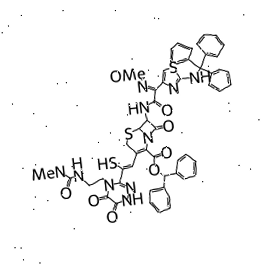 CNC(=O)NCCn1c(C(S)=CC2=C(C(=O)OC(c3ccccc3)c3ccccc3)N3C(=O)C(NC(=O)C(=NOC)c4csc(NC(c5ccccc5)(c5ccccc5)c5ccccc5)n4)C3SC2)n[nH]c(=O)c1=O